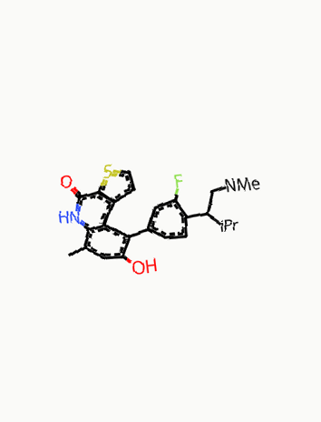 CNCC(c1ccc(-c2c(O)cc(C)c3[nH]c(=O)c4sccc4c23)cc1F)C(C)C